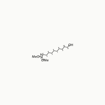 CO[SiH](CCCCCCCCCCO)OC